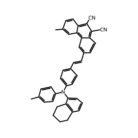 Cc1ccc(N(c2ccc(C=Cc3ccc4c(C#N)c(C#N)c5ccc(C)cc5c4c3)cc2)c2cccc3c2CCCC3)cc1